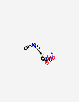 CN(CCCCCCCCSc1cccc2c1CN(C1CCC(=O)NC1=O)C2=O)CCC1CC2CCCC(C2)C1